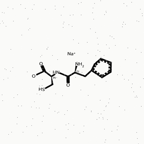 N[C@@H](Cc1ccccc1)C(=O)N[C@@H](CS)C(=O)[O-].[Na+]